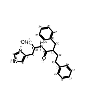 O=[C][C@H](Cc1c[nH]cn1)NC(=O)C(CCc1ccccc1)Cc1ccccc1